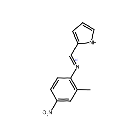 Cc1cc([N+](=O)[O-])ccc1/N=C/c1ccc[nH]1